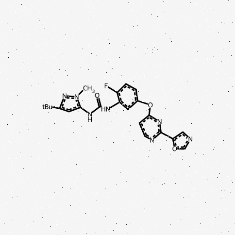 Cn1nc(C(C)(C)C)cc1NC(=O)Nc1cc(Oc2ccnc(-c3cnco3)n2)ccc1F